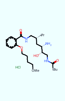 COCCCCOc1ccccc1C(=O)NC[C@@H](C[C@H](N)[C@@H](O)CNC(=O)C(C)(C)C)C(C)C.Cl